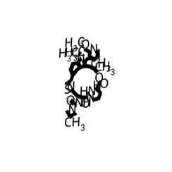 CCn1c(-c2cccnc2[C@H](C)OC)c2c3cc(ccc31)-c1csc(n1)C[C@H](NC(=O)N1CC(C)C1)C(=O)N1CCC[C@H](N1)C(=O)OCC(C)(C)C2